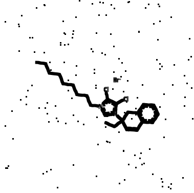 CCCCCCCCC[n+]1cn(C2(CC)C=Cc3ccccc3C2)c(Cl)c1Cl.[Br-]